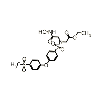 CCOC(=O)CN(CC(=O)NO)S(=O)(=O)c1ccc(Oc2ccc(S(C)(=O)=O)cc2)cc1